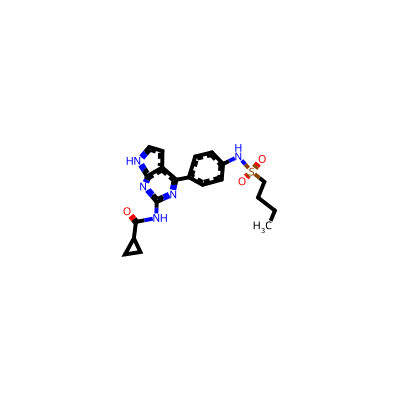 CCCCS(=O)(=O)Nc1ccc(-c2nc(NC(=O)C3CC3)nc3[nH]ccc23)cc1